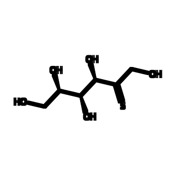 OCC(=S)[C@H](O)[C@@H](O)[C@H](O)CO